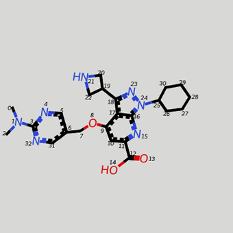 CN(C)c1ncc(COc2cc(C(=O)O)nc3c2c(C2CNC2)nn3C2CCCCC2)cn1